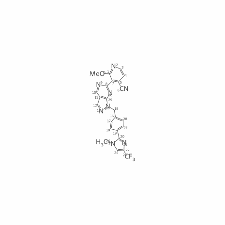 COc1nccc(C#N)c1-c1ncc2cnn(Cc3ccc(-c4nc(C(F)(F)F)cn4C)cc3)c2n1